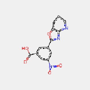 O=C(O)c1cc(-c2nc3ncccc3o2)cc([N+](=O)[O-])c1